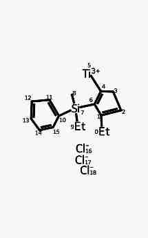 CCC1=CC[C]([Ti+3])=C1[Si](C)(CC)c1ccccc1.[Cl-].[Cl-].[Cl-]